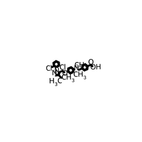 Cc1cc(OCc2c(C(C)C)cnn2-c2c(Cl)cccc2Cl)ccc1N(C)Cc1ccc(C(=O)O)cc1